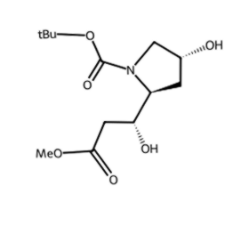 COC(=O)C[C@@H](O)[C@@H]1C[C@@H](O)CN1C(=O)OC(C)(C)C